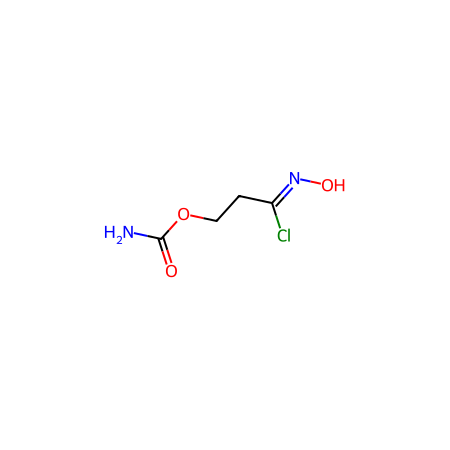 NC(=O)OCCC(Cl)=NO